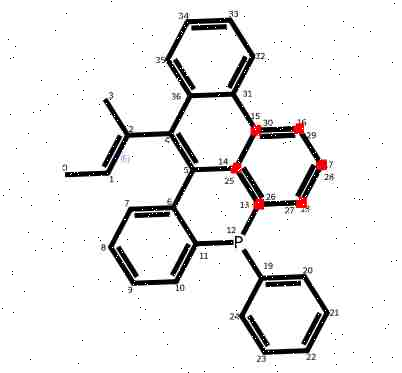 C/C=C(\C)c1c(-c2ccccc2P(c2ccccc2)c2ccccc2)c2ccccc2c2ccccc12